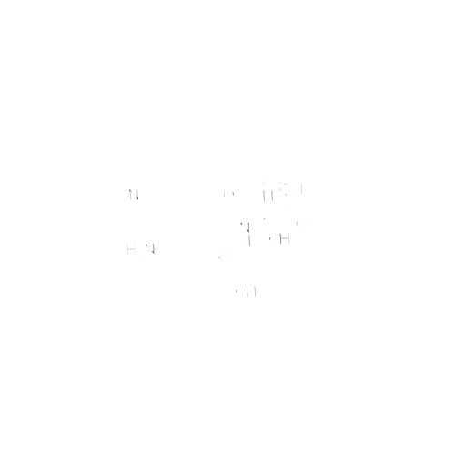 CCOc1cc(N)c(C#N)cc1C(=O)NC(C)(CC)C(=O)O